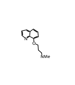 CNCCCOc1cccc2cccnc12